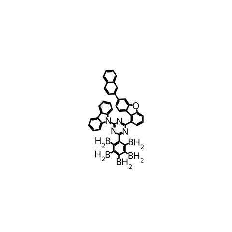 Bc1c(B)c(B)c(-c2nc(-c3cccc4oc5cc(-c6ccc7ccccc7c6)ccc5c34)nc(-n3c4ccccc4c4ccccc43)n2)c(B)c1B